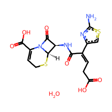 Nc1nc(/C(=C/CC(=O)O)C(=O)N[C@@H]2C(=O)N3C(C(=O)O)=CCS[C@H]23)cs1.O